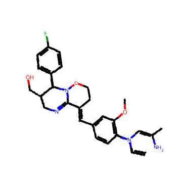 C=CN(/C=C(/C)N)c1ccc(/C=C2\CCON3C2=NCC(CO)C3c2ccc(F)cc2)cc1OC